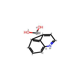 OBO.c1cc2c3c-2ccnc3c1